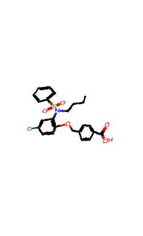 CCCCN(c1cc(Cl)ccc1OCc1ccc(C(=O)O)cc1)S(=O)(=O)c1ccccc1